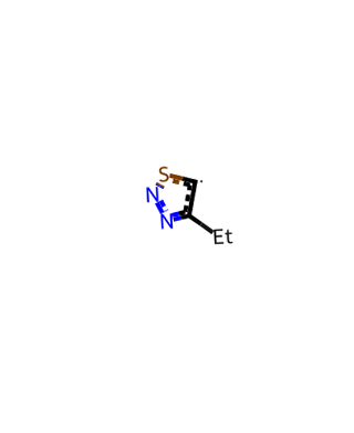 CCc1[c]snn1